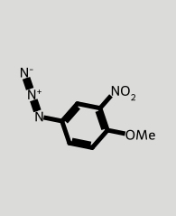 COc1ccc(N=[N+]=[N-])cc1[N+](=O)[O-]